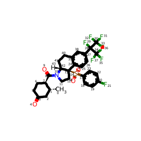 C[C@@H]1CC(=O)CC[C@H]1C(=O)N1CC[C@@]2(S(=O)(=O)c3ccc(F)cc3)c3ccc(C(F)(C(F)(F)F)C(F)(F)F)cc3CC[C@@H]12